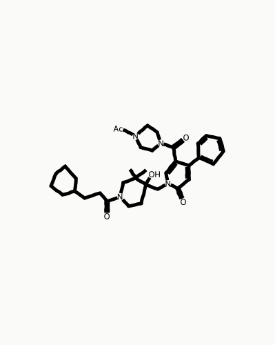 CC(=O)N1CCN(C(=O)c2cn(CC3(O)CCN(C(=O)CCC4CCCCC4)CC3(C)C)c(=O)cc2-c2ccccc2)CC1